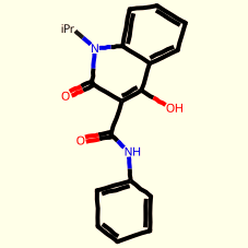 CC(C)n1c(=O)c(C(=O)Nc2ccccc2)c(O)c2ccccc21